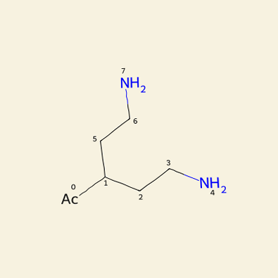 CC(=O)C(CCN)CCN